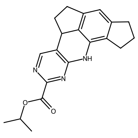 CC(C)OC(=O)c1ncc2c(n1)Nc1c3c(cc4c1C2CC4)CCC3